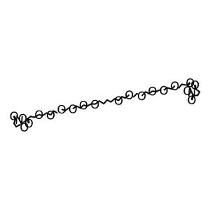 O=C(CCOCCOCCOCCOCCOCCOCCCCCOCCOCCOCCOCCOCCOCCC(=O)ON1C(=O)CCC1=O)ON1C(=O)CCC1=O